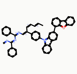 C=N\C(=N/C(=N\C=C(/C=C\C=C\C)c1ccc(-n2c3ccccc3c3ccc(-c4cccc5c4oc4ccccc45)cc32)cc1)c1ccccc1)c1ccccc1